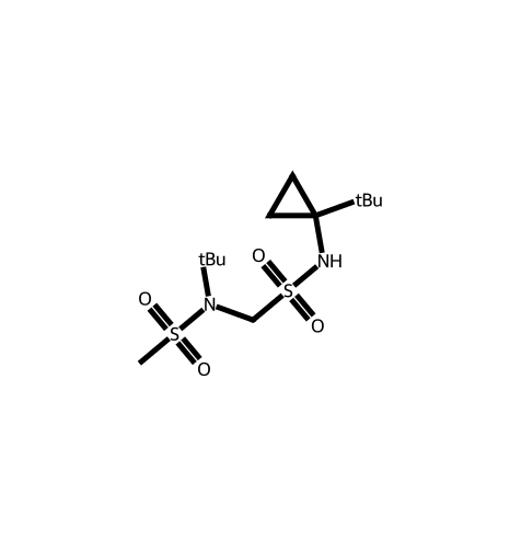 CC(C)(C)N(CS(=O)(=O)NC1(C(C)(C)C)CC1)S(C)(=O)=O